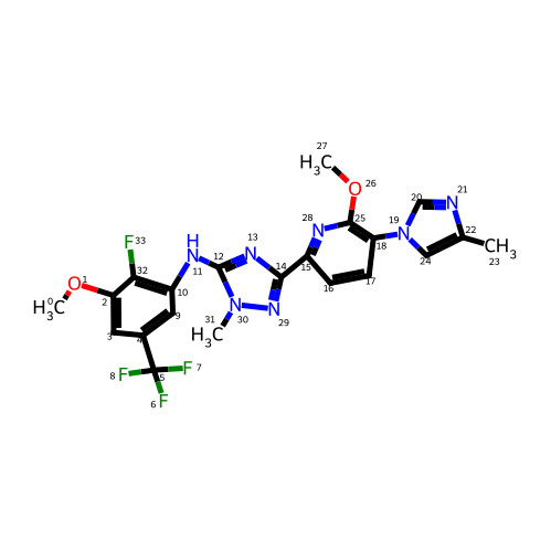 COc1cc(C(F)(F)F)cc(Nc2nc(-c3ccc(-n4cnc(C)c4)c(OC)n3)nn2C)c1F